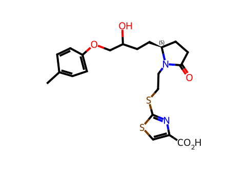 Cc1ccc(OCC(O)CC[C@H]2CCC(=O)N2CCSc2nc(C(=O)O)cs2)cc1